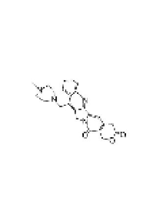 CN1CCN(Cc2c3c(nc4ccccc24)-c2cc4c(c(=O)n2C3)COC(=O)C4)CC1